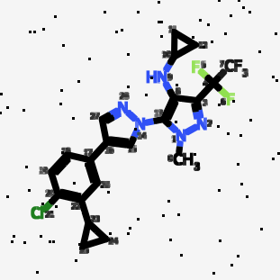 Cn1nc(C(F)(F)C(F)(F)F)c(NC2CC2)c1-n1cc(-c2ccc(Cl)c(C3CC3)c2)cn1